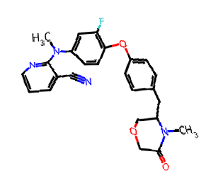 CN(c1ccc(Oc2ccc(CC3COCC(=O)N3C)cc2)c(F)c1)c1ncccc1C#N